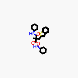 CC(Cc1cc2ccccc2s1)(C(=O)NC1CCCCC1)C(=O)ONC1CCCCC1